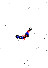 Cc1cc(C[C@@H](O)C(=O)N2CCC(N3CCCCC3)CC2)cc2cn(COCC[Si](C)(C)C)nc12